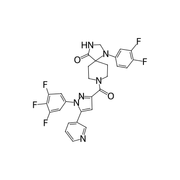 O=C(c1cc(-c2cccnc2)n(-c2cc(F)c(F)c(F)c2)n1)N1CCC2(CC1)C(=O)NCN2c1ccc(F)c(F)c1